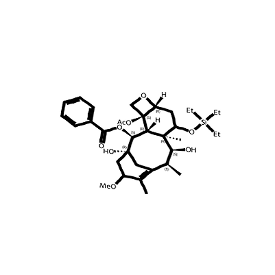 CC[Si](CC)(CC)OC1C[C@H]2OC[C@@]2(OC(C)=O)[C@H]2[C@H](OC(=O)c3ccccc3)[C@@]3(O)CC(=C(C)C(OC)C3)[C@H](C)[C@H](O)[C@]12C